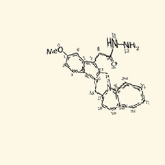 COc1ccc2c(c1)c(CC(=O)NN)c(C)n2Cc1ccc2ccccc2n1